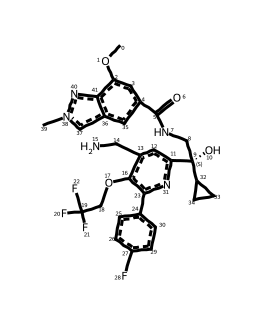 COc1cc(C(=O)NC[C@](O)(c2cc(CN)c(OCC(F)(F)F)c(-c3ccc(F)cc3)n2)C2CC2)cc2cn(C)nc12